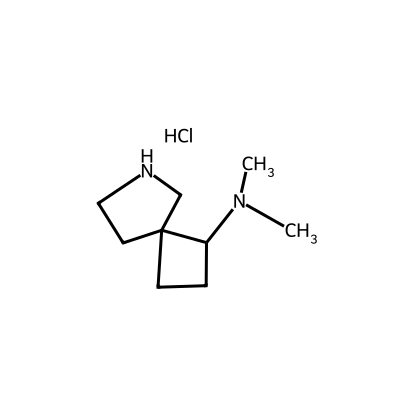 CN(C)C1CCC12CCNC2.Cl